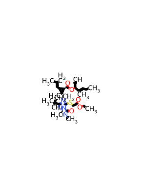 C#CC(OC(=O)[C@@H]1C(C=C(C)C)C1(C)C)/C(C)=C/CC.CCOC(=O)CSc1nc(C(C)(C)C)nn1C(=O)N(C)C